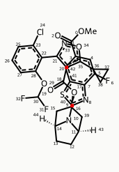 COC(=O)c1cc(F)c2nc(N3[C@@H]4CC[C@H]3C[C@@H](OC(=O)c3c(-c5c(Cl)cccc5OC(F)F)noc3C3CC3)C4)sc2c1